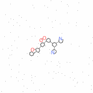 c1cncc(-c2cc(-c3cccnc3)cc(-c3ccc4c(c3)-c3ccc(-c5ccc6c(c5)oc5ccccc56)cc3OCO4)c2)c1